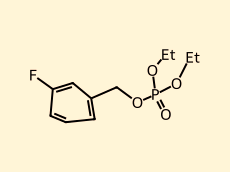 CCOP(=O)(OCC)OCc1cccc(F)c1